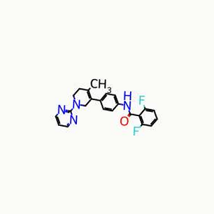 CC1=C(c2ccc(NC(=O)c3c(F)cccc3F)cc2)CN(c2ncccn2)CC1